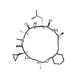 C=C1[C@H](C2CC2)NC[C@@H](C)OC2CCCCC2CC[C@H](C)NC(=O)[C@@H](CC(C)C)NC(=O)[C@@H](C)N1C